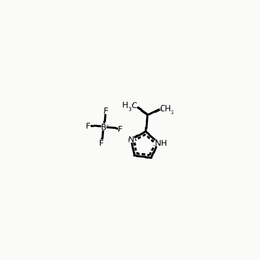 CC(C)c1ncc[nH]1.F[B-](F)(F)F